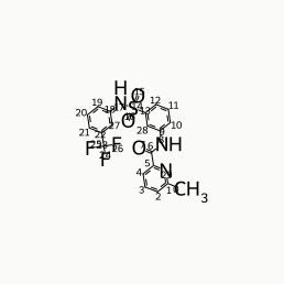 Cc1cccc(C(=O)Nc2cccc(S(=O)(=O)Nc3cccc(C(F)(F)F)c3)c2)n1